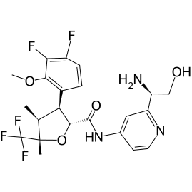 COc1c([C@H]2[C@H](C(=O)Nc3ccnc([C@@H](N)CO)c3)O[C@](C)(C(F)(F)F)[C@H]2C)ccc(F)c1F